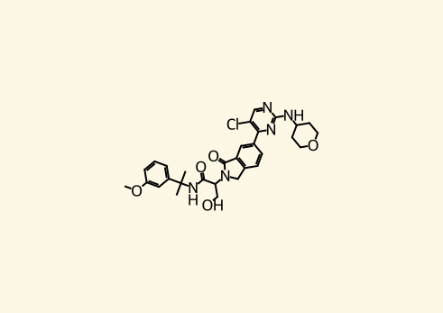 COc1cccc(C(C)(C)NC(=O)C(CO)N2Cc3ccc(-c4nc(NC5CCOCC5)ncc4Cl)cc3C2=O)c1